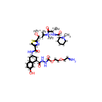 CCCO[C@H](CC(C(C)C)N(CCC)C(=O)[C@@H](NC(=O)[C@H]1CCCCN1C)[C@@H](C)CC)c1nc(C(=O)N[C@H]2Cc3ccc(O)cc3[C@H](C(=O)NNC(=O)OCCOCCN)C2)cs1